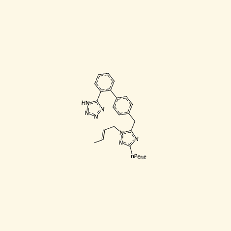 C/C=C/Cn1nc(CCCCC)nc1Cc1ccc(-c2ccccc2-c2nnn[nH]2)cc1